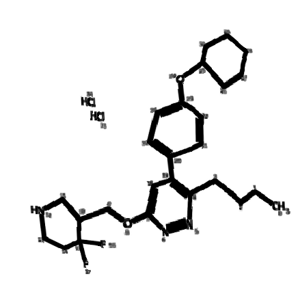 CCCCc1nnc(OCC2CNCCC2(F)F)cc1-c1ccc(OC2CCCCC2)cc1.Cl.Cl